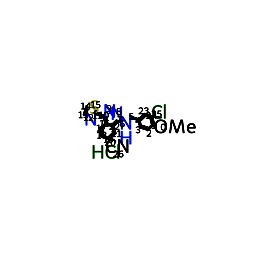 COc1ccc(CNc2nnc(-c3nccs3)c3ccc(C#N)cc23)cc1Cl.Cl